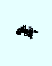 CC(C)(C)S(=O)(=O)N[C@H](c1cnc(NC(=O)C2(c3ccc4c(c3)OCO4)CC2)s1)c1ccc(F)cc1Cl